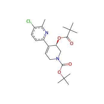 Cc1nc(C2=CCN(C(=O)OC(C)(C)C)C[C@@H]2OC(=O)C(C)(C)C)ccc1Cl